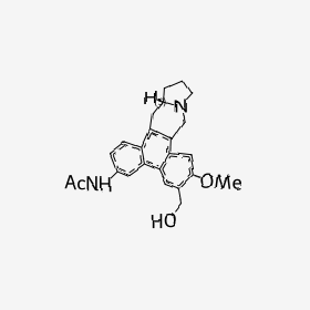 COc1cc2c3c(c4ccc(NC(C)=O)cc4c2cc1CO)C[C@@H]1CCCN1C3